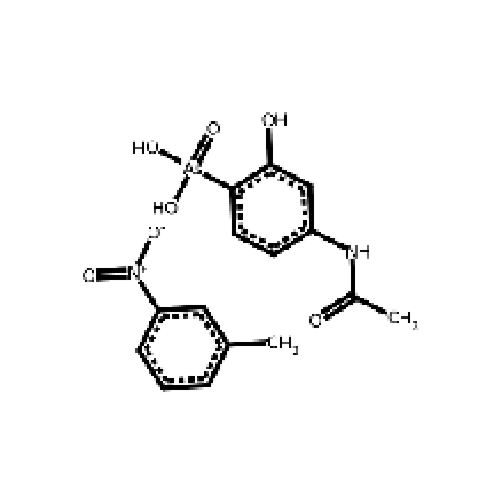 CC(=O)Nc1ccc([As](=O)(O)O)c(O)c1.Cc1cccc([N+](=O)[O-])c1